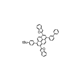 CC(C)(C)c1ccc(-c2cc(-c3cc4ccccc4o3)c3ccc4c(-c5cccc(-c6ccccc6)c5)cc(-c5cc6ccccc6o5)c5ccc2c3c45)cc1